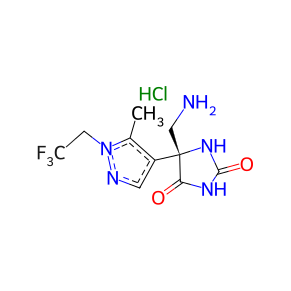 Cc1c([C@]2(CN)NC(=O)NC2=O)cnn1CC(F)(F)F.Cl